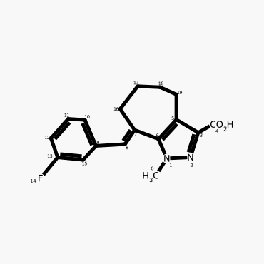 Cn1nc(C(=O)O)c2c1C(=Cc1cccc(F)c1)CCCC2